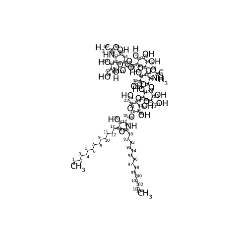 CCCCCCCCCCCCC/C=C/[C@@H](O)[C@H](CO[C@@H]1OC(CO)[C@@H](O[C@@H]2OC(CO)[C@H](O)[C@H](O[C@@H]3OC(CO)[C@@H](O)[C@H](O[C@@H]4OC(CO[C@]5(C(=O)O)CC(O)[C@@H](NC(C)=O)C([C@H](O)[C@H](O)CO)O5)[C@H](O)[C@H](O)C4O)C3NC(C)=O)C2O)[C@H](O)C1O)NC(=O)CCCCCCCCCCCCCCC